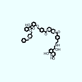 O=C(c1ccc(CCNC[C@H](O)c2ccc(O)c3[nH]c(=O)ccc23)cc1)N1CCC2(CCCN(C(=O)c3ccc(COc4cccc([C@](O)(C(=O)OCC5CCN(Cc6ccccc6)CC5)c5ccccc5)c4)cc3)C2)CC1